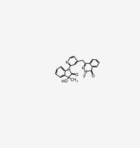 CC1(O)C(=O)N(c2cc(Cc3nn(F)c(=O)c4ccccc34)ccn2)c2ccccc21